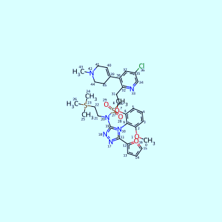 COc1cccc(OC)c1-n1c(-c2ccco2)nnc1N(CCS(C)(C)C)S(=O)(=O)CCc1ncc(Cl)cc1C1=CCN(C)CC1